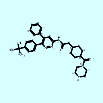 CC(C)(N)c1ccc(-c2nnc(NC(=O)CC3CCC(C(=O)N4CCOCC4)CC3)cc2-c2ccccc2)cc1